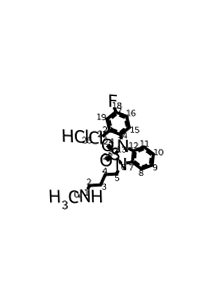 CNCCCCN1c2ccccc2N(c2ccc(F)cc2Cl)S1(=O)=O.Cl